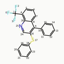 FC(F)(F)c1cccc2c(-c3ccccc3)c(Sc3ccccc3)cnc12